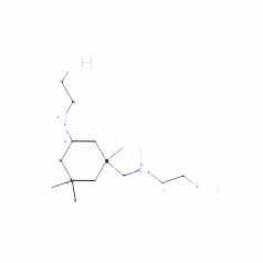 CC1(C)CC(NCCO)CC(C)(CNCCO)C1